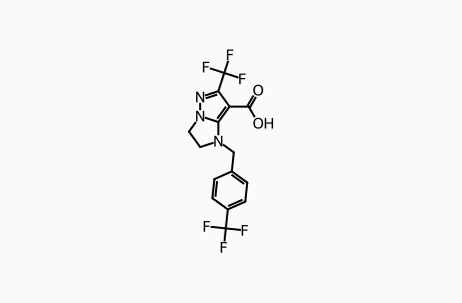 O=C(O)c1c(C(F)(F)F)nn2c1N(Cc1ccc(C(F)(F)F)cc1)CC2